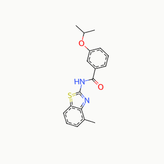 Cc1cccc2sc(NC(=O)c3cccc(OC(C)C)c3)nc12